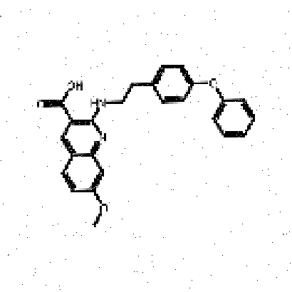 COc1ccc2cc(C(=O)O)c(NCCc3ccc(Oc4ccccc4)cc3)nc2c1